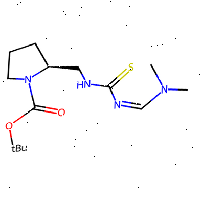 CN(C)/C=N\C(=S)NC[C@@H]1CCCN1C(=O)OC(C)(C)C